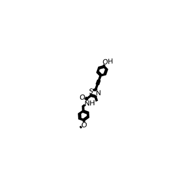 COc1ccc(CNC(=O)c2sc(C#Cc3ccc(O)cc3)nc2C)cc1